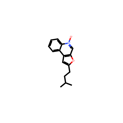 CC(C)CCc1cc2c(c[n+]([O-])c3ccccc23)o1